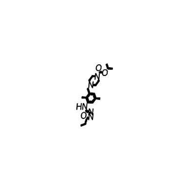 CCc1nnc(Nc2cc(C)cc(CN3CCN(C(=O)OC(C)C)CC3)c2C)o1